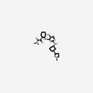 CN(C)C(=O)C(=O)c1ccccc1Nc1nc(Nc2cccc(-c3ccn(C)n3)c2)ncc1Cl